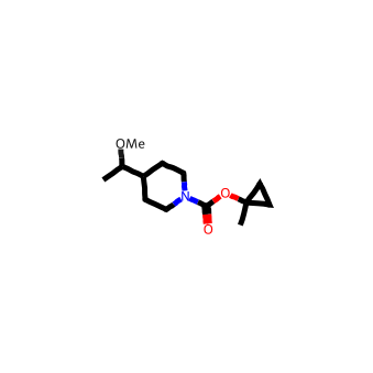 COC(C)C1CCN(C(=O)OC2(C)CC2)CC1